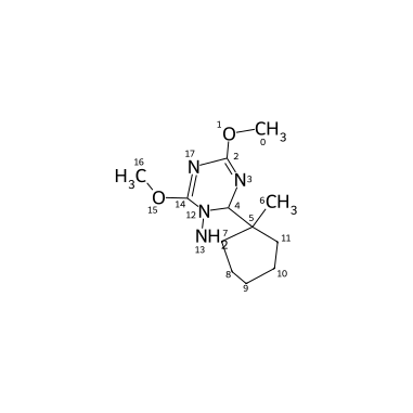 COC1=NC(C2(C)CCCCC2)N(N)C(OC)=N1